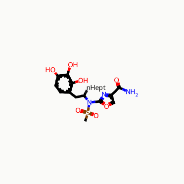 CCCCCCCC(Cc1ccc(O)c(O)c1O)N(c1nc(C(N)=O)co1)S(C)(=O)=O